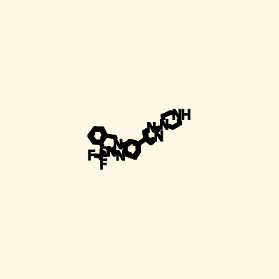 FC(F)Oc1ccccc1Cn1nnc2ccc(-c3cnc(N4CCNCC4)nc3)cc21